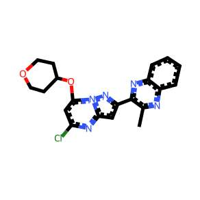 Cc1nc2ccccc2nc1-c1cc2nc(Cl)cc(OC3CCOCC3)n2n1